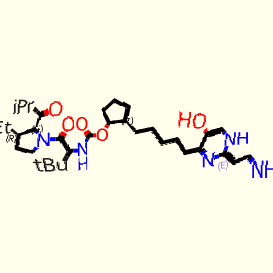 CC[C@@H]1CCN(C(=O)C(NC(=O)OC2CCC[C@H]2CCCCCC2=N/C(=C/C=N)NC=C2O)C(C)(C)C)[C@@H]1C(=O)C(C)C